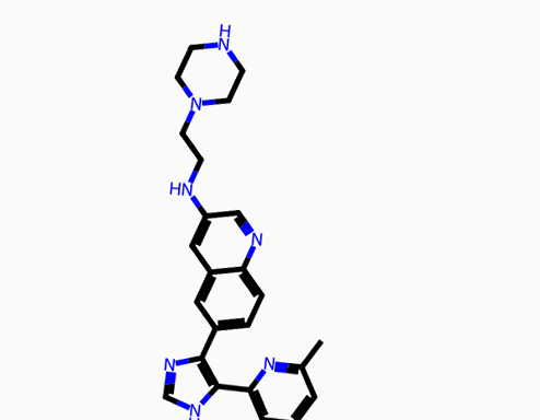 Cc1cccc(-c2[nH]cnc2-c2ccc3ncc(NCCN4CCNCC4)cc3c2)n1